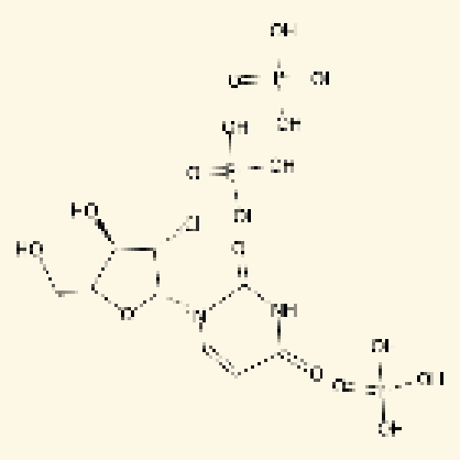 O=P(O)(O)O.O=P(O)(O)O.O=P(O)(O)O.O=c1ccn([C@@H]2O[C@H](CO)[C@@H](O)[C@@H]2Cl)c(=O)[nH]1